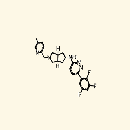 Cc1ccc(CN2C[C@H]3C[C@H](Nc4ccc(-c5cc(F)cc(F)c5F)nn4)C[C@H]3C2)nc1